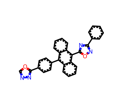 c1ccc(-c2noc(-c3c4ccccc4c(-c4ccc(-c5nnco5)cc4)c4ccccc34)n2)cc1